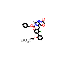 CCOC(=O)C=COc1ccccc1-c1cccc(CC2N(C(=O)OCc3ccccc3)[C@H](C)CC23COCC(=O)N3)c1F